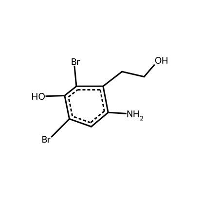 Nc1cc(Br)c(O)c(Br)c1CCO